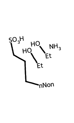 CCCCCCCCCCCCS(=O)(=O)O.CCO.CCO.N